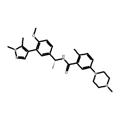 COc1ccc([C@@H](C)NC(=O)c2cc(N3CCN(C)CC3)ccc2C)cc1-c1cnn(C)c1C